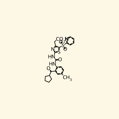 Cc1ccc(NC(=O)Nc2nc(CC(=O)O)c(S(=O)(=O)c3ccccn3)s2)c(C(=O)C2CCCC2)c1